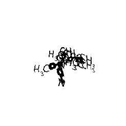 Cc1ccc(-c2cc(N(C[C@H]3CCC(CC(=O)OC(C)(C)C)C3)C(=O)OC(C)(C)C)nn2-c2ccc(C#N)cc2)cc1